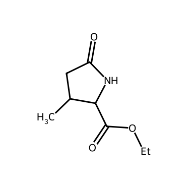 CCOC(=O)C1NC(=O)CC1C